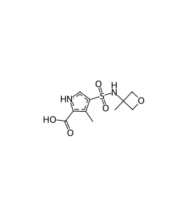 Cc1c(S(=O)(=O)NC2(C)COC2)c[nH]c1C(=O)O